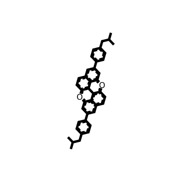 CC(C)Cc1ccc(-c2cc3ccc4oc5cc(-c6ccc(CC(C)C)cc6)cc6ccc7oc(c2)c3c4-c7c65)cc1